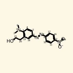 CN(C)c1ccc(/N=N/c2ccc([N+](=O)[O-])cc2)cc1CCO